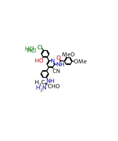 COc1ccc(C(=O)Nc2nc(-c3ccc(Cl)cc3O)cc(-c3cccc(N[C@](C)(N)C=O)c3)c2C#N)c(OC)c1.Cl.Cl